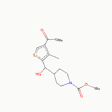 COC(=O)c1csc(C(O)C2CCN(C(=O)OC(C)(C)C)CC2)c1C